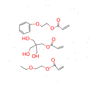 C=CC(=O)OCC(CO)(CO)CO.C=CC(=O)OCCOCC.C=CC(=O)OCCOc1ccccc1